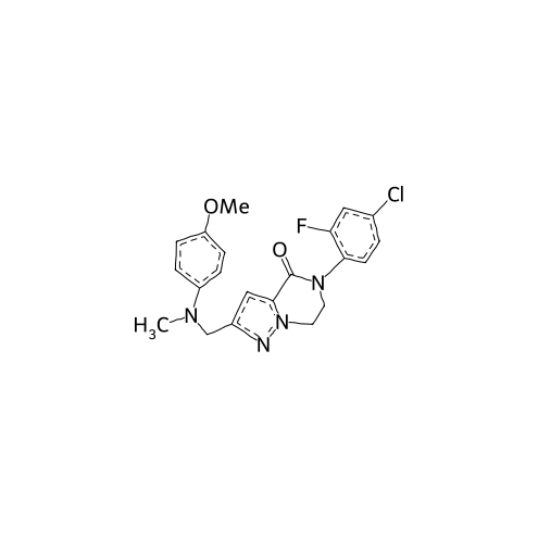 COc1ccc(N(C)Cc2cc3n(n2)CCN(c2ccc(Cl)cc2F)C3=O)cc1